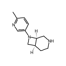 Cc1ccc(N2C[C@@H]3CCNC[C@@H]32)cn1